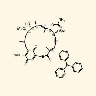 COC1=C2C[C@@H](C)C[C@H](OC)[C@H](O)[C@@H](C)/C=C(\C)[C@H](OC(N)=O)[C@@H](OC)/C=C\C=C(/C)C(=O)NC(=CC1=O)C2=O.c1ccc(P(c2ccccc2)c2ccccc2)cc1